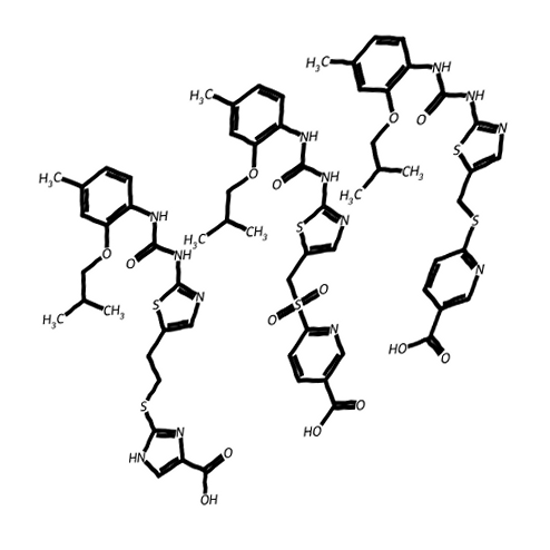 Cc1ccc(NC(=O)Nc2ncc(CCSc3nc(C(=O)O)c[nH]3)s2)c(OCC(C)C)c1.Cc1ccc(NC(=O)Nc2ncc(CS(=O)(=O)c3ccc(C(=O)O)cn3)s2)c(OCC(C)C)c1.Cc1ccc(NC(=O)Nc2ncc(CSc3ccc(C(=O)O)cn3)s2)c(OCC(C)C)c1